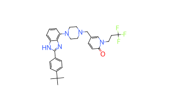 CC(C)(C)c1ccc(-c2nc3c(N4CCN(Cc5ccc(=O)n(CCC(F)(F)F)c5)CC4)cccc3[nH]2)cc1